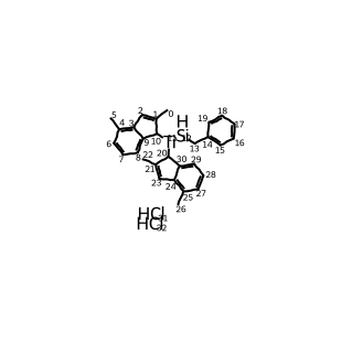 CC1=Cc2c(C)cccc2[CH]1[Ti](=[SiH]Cc1ccccc1)[CH]1C(C)=Cc2c(C)cccc21.Cl.Cl